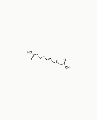 O=C(O)CSCC=CCSCC(=O)O